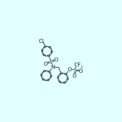 O=S(=O)(c1ccc(Cl)cc1)N(Cc1ccccc1OS(=O)(=O)C(F)(F)F)c1ccccc1